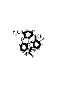 FC(F)C(F)(c1cccc(Oc2ccccc2NC(F)(F)F)c1Oc1ccccc1NC(F)(F)F)C(F)(F)F